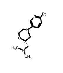 CCc1ccc(N2CCO[C@@H](CN(C)C)C2)cn1